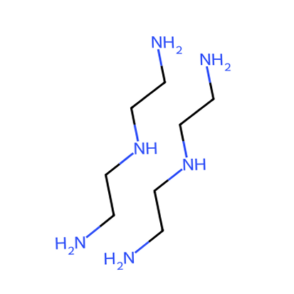 NCCNCCN.NCCNCCN